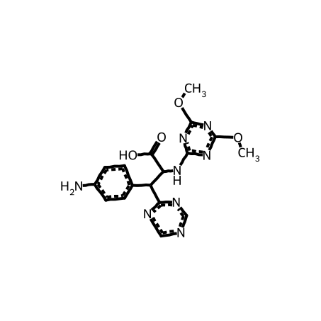 COc1nc(NC(C(=O)O)C(c2ccc(N)cc2)c2ncncn2)nc(OC)n1